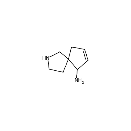 NC1C=CCC12CCNC2